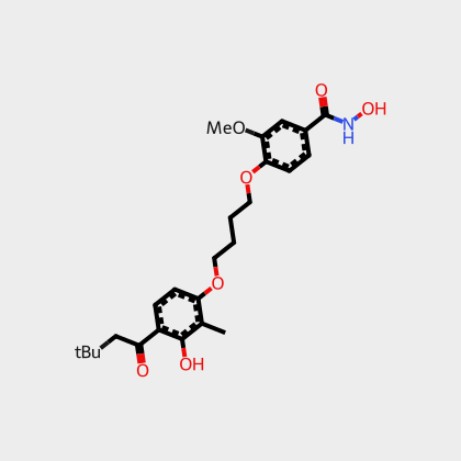 COc1cc(C(=O)NO)ccc1OCCCCOc1ccc(C(=O)CC(C)(C)C)c(O)c1C